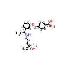 CC(NCCCC(C)(C)O)c1cccc(OCc2ccc(C(O)O)cc2)c1